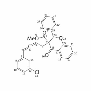 COC(=O)C1(CC=C=Cc2cccc(Cl)c2)C(=O)c2ccccc2OC1c1ccccc1